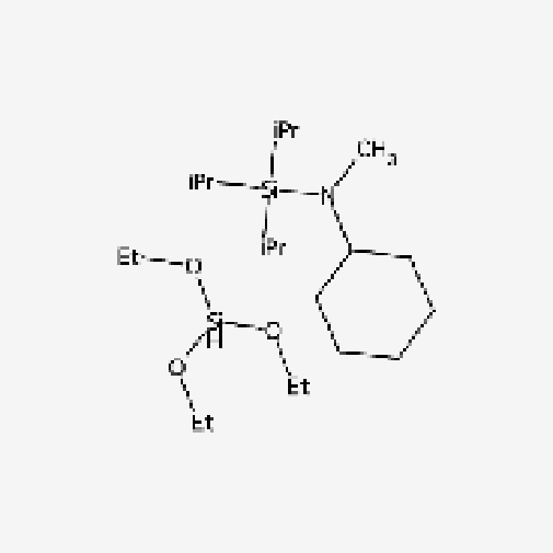 CC(C)[Si](C(C)C)(C(C)C)N(C)C1CCCCC1.CCO[SiH](OCC)OCC